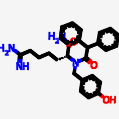 N=C(N)CCCC[C@H](C(N)=O)N(Cc1ccc(O)cc1)C(=O)C(c1ccccc1)c1ccccc1